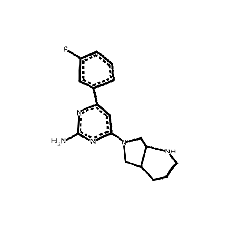 Nc1nc(-c2cccc(F)c2)cc(N2CC3CCCNC3C2)n1